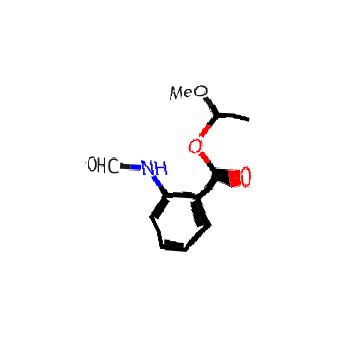 COC(C)OC(=O)c1ccccc1N[C]=O